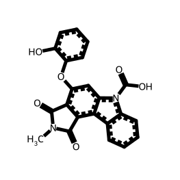 CN1C(=O)c2c(Oc3ccccc3O)cc3c(c2C1=O)c1ccccc1n3C(=O)O